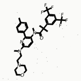 Cc1ccc(-c2nc(N(C)CCN3CCOCC3)ccc2N(C)C(=O)C(C)(C)c2cc(C(F)(F)F)cc(C(F)(F)F)c2)cc1